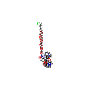 COC(=O)c1ccc(C(=O)NCCOCCOCCOCCOCCOCCOCCCCCCCl)cc1C1=C2C=C3CCCCN4CCCC(=C2Oc2c1cc1c5c2CCCN5CCCC1)C34